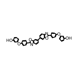 Oc1cccc(Oc2ccc(-c3nc4ccc(-c5ccc6nc(-c7ccc(Oc8cccc(O)c8)cc7)oc6c5)cc4o3)cc2)c1